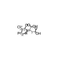 O=C(O)CC(C(=O)O)n1ncc(F)c(Cl)c1=O